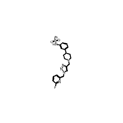 CC(C)S(=O)(=O)Nc1cccc(C2CCN(Cc3cn(Cc4cccc(F)n4)nn3)CC2)c1